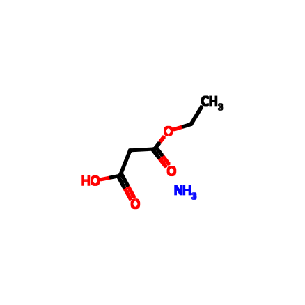 CCOC(=O)CC(=O)O.N